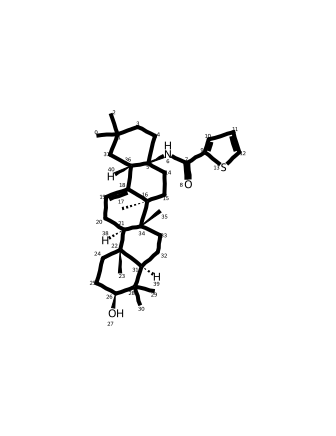 CC1(C)CC[C@]2(NC(=O)c3cccs3)CC[C@]3(C)C(=CC[C@@H]4[C@@]5(C)CC[C@H](O)C(C)(C)[C@@H]5CC[C@]43C)[C@@H]2C1